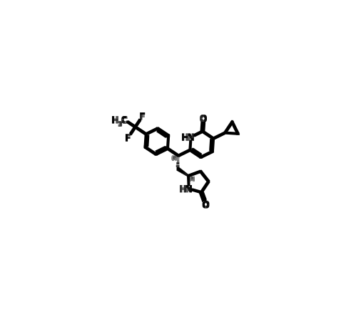 CC(F)(F)c1ccc([C@@H](C[C@H]2CCC(=O)N2)c2ccc(C3CC3)c(=O)[nH]2)cc1